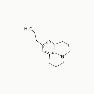 CCCc1cc2c3c(c1)CCCN3CCC2